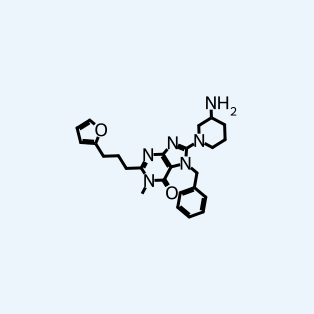 Cn1c(CCCc2ccco2)nc2nc(N3CCCC(N)C3)n(Cc3ccccc3)c2c1=O